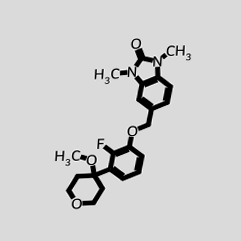 COC1(c2cccc(OCc3ccc4c(c3)n(C)c(=O)n4C)c2F)CCOCC1